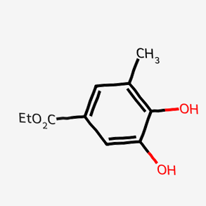 CCOC(=O)c1cc(C)c(O)c(O)c1